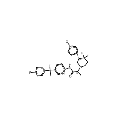 C[C@@H](C(=O)Nc1ccc(C(F)(F)c2ccc(F)cc2)cn1)N1CCC(F)(F)[C@@H](c2cc[n+]([O-])cc2)C1